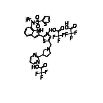 CC(C)N(c1cccc2cc(-c3ncc(CN4CCC(c5ncccn5)C4)s3)[nH]c12)S(=O)(=O)c1cccs1.O=C(O)C(F)(F)F.O=C(O)C(F)(F)F.O=C(O)C(F)(F)F